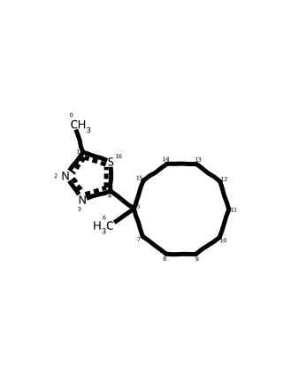 Cc1nnc(C2(C)CCCCCCCCC2)s1